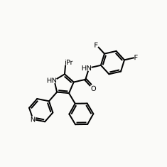 CC(C)c1[nH]c(-c2ccncc2)c(-c2ccccc2)c1C(=O)Nc1ccc(F)cc1F